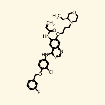 C=CC(=O)Nc1cc2c(Nc3ccc(OCc4cccc(F)c4)c(Cl)c3)ncnc2cc1OCCCN1CCOC[C@@H]1CC